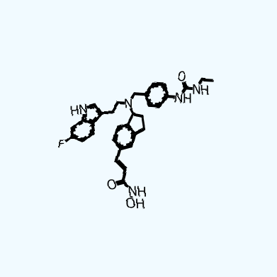 CCNC(=O)Nc1ccc(CN(CCc2c[nH]c3cc(F)ccc23)C2CCc3cc(C=CC(=O)NO)ccc32)cc1